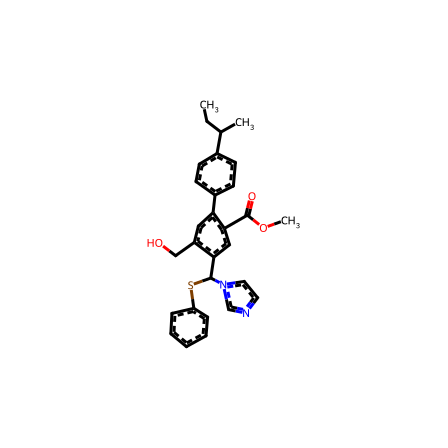 CCC(C)c1ccc(-c2cc(CO)c(C(Sc3ccccc3)n3ccnc3)cc2C(=O)OC)cc1